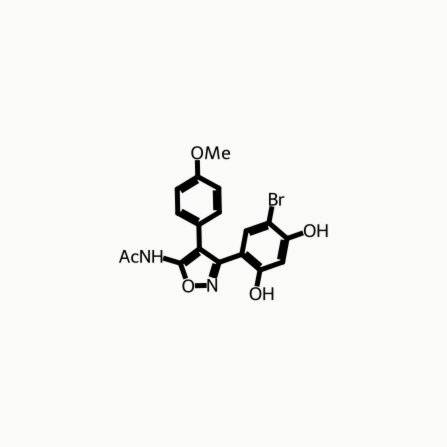 COc1ccc(-c2c(-c3cc(Br)c(O)cc3O)noc2NC(C)=O)cc1